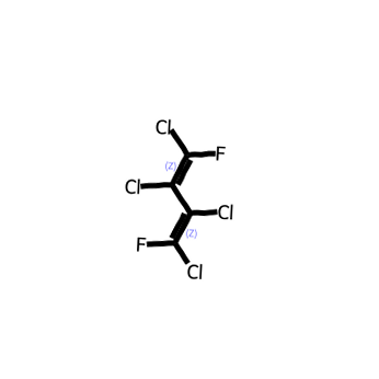 F/C(Cl)=C(Cl)\C(Cl)=C(/F)Cl